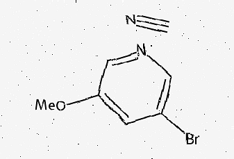 C#N.COc1cncc(Br)c1